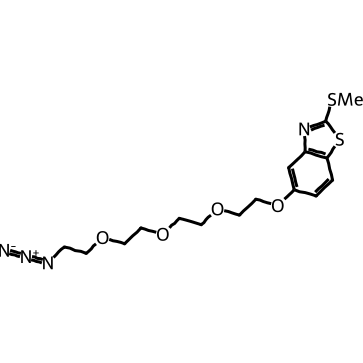 CSc1nc2cc(OCCOCCOCCOCCN=[N+]=[N-])ccc2s1